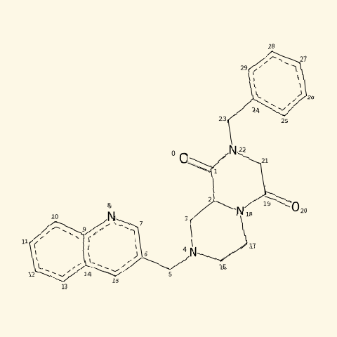 O=C1C2CN(Cc3cnc4ccccc4c3)CCN2C(=O)CN1Cc1ccccc1